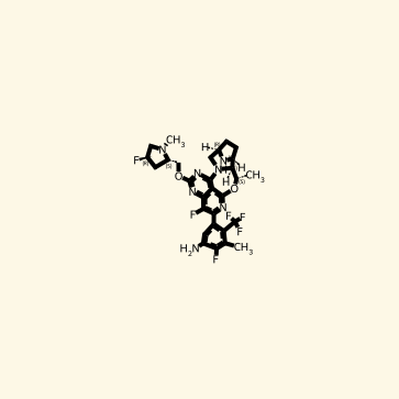 Cc1c(F)c(N)cc(-c2nc3c4c(nc(OC[C@@H]5C[C@@H](F)CN5C)nc4c2F)N2C[C@H]4CC[C@H](N4)[C@H]2[C@H](C)O3)c1C(F)(F)F